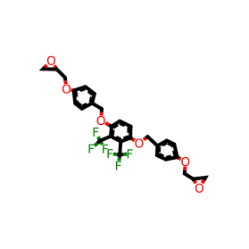 FC(F)(F)c1c(OCc2ccc(OCC3CO3)cc2)ccc(OCc2ccc(OCC3CO3)cc2)c1C(F)(F)F